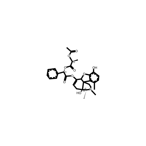 CC(=O)O[C@@H](C)C(=O)O[C@H](C(=O)OC1=CC[C@@]2(O)[C@@H](C)N(C)CCC23c2c(C)ccc(O)c2OC13)c1ccccc1